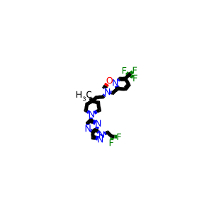 CC1(CCN(C=O)Cc2ccc(C(F)(F)F)cn2)CCN(c2cnc3cnn(CC(F)F)c3n2)CC1